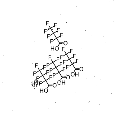 O=C(O)C(F)(F)C(F)(F)C(F)(F)F.O=C(O)C(F)(F)C(F)(F)C(F)(F)F.O=C(O)C(F)(F)C(F)(F)C(F)(F)F.O=C(O)C(F)(F)C(F)(F)C(F)(F)F.[Rh].[Rh]